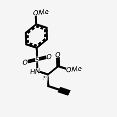 C#CC[C@@H](NS(=O)(=O)c1ccc(OC)cc1)C(=O)OC